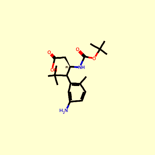 Cc1ccc(N)cc1C([C@@H](CC(=O)O)NC(=O)OC(C)(C)C)C(C)(C)C